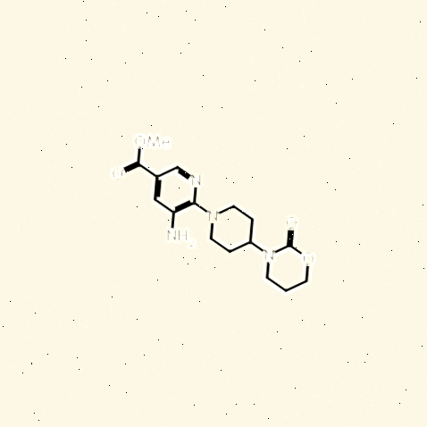 COC(=O)c1cnc(N2CCC(N3CCCOC3=O)CC2)c(N)c1